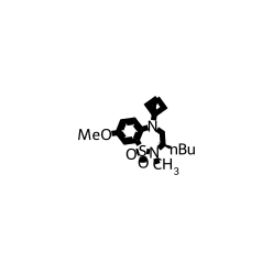 CCCC[C@@H]1CN(C23CC(C2)C3)c2ccc(OC)cc2S(=O)(=O)N1C